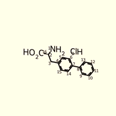 Cl.N[C@@H](Cc1ccc(-c2ccccc2)cc1)C(=O)O